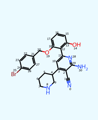 N#Cc1c(C2CCCNC2)cc(-c2c(O)cccc2OCc2ccc(Br)cc2)nc1N